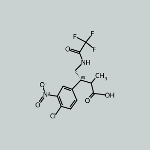 CC(C(=O)O)[C@@H](CNC(=O)C(F)(F)F)c1ccc(Cl)c([N+](=O)[O-])c1